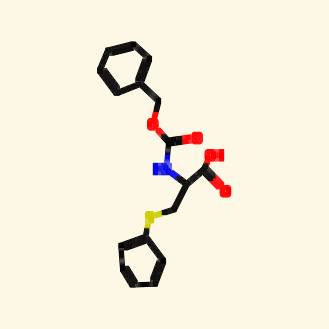 O=C(NC(CSc1ccccc1)C(=O)O)OCc1ccccc1